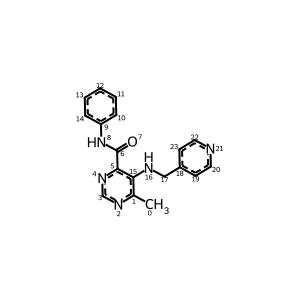 Cc1ncnc(C(=O)Nc2ccccc2)c1NCc1ccncc1